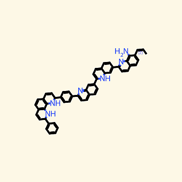 C/C=C\c1ccc2ccc(C3=CC4NC(c5ccc6ccc(-c7ccc(C8C=Cc9ccc%10c(c9N8)NC(c8ccccc8)C=C%10)cc7)nc6c5)=CC=C4C=C3)nc2c1N